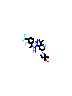 Cc1nnc(NC(C)c2cccc(C(F)F)c2F)c2cc(N3CCC4(COC4)C3)cnc12